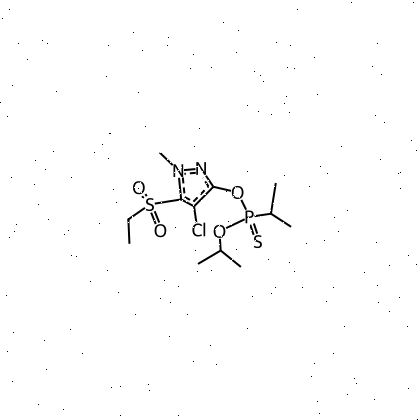 CCS(=O)(=O)c1c(Cl)c(OP(=S)(OC(C)C)C(C)C)nn1C